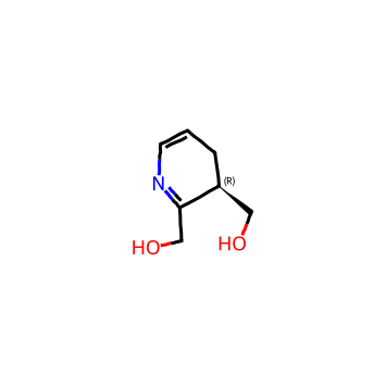 OCC1=NC=CC[C@H]1CO